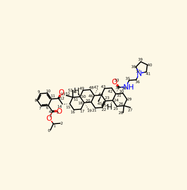 CC(C)OC(=O)c1ccccc1C(=O)C[C@H]1CC[C@]2(C)C3CC=C4[C@@H]5CC(C)(C)CC[C@]5(C(=O)NCCN5CCCC5)CC[C@@]4(C)[C@]3(C)CC[C@H]2C1(C)C